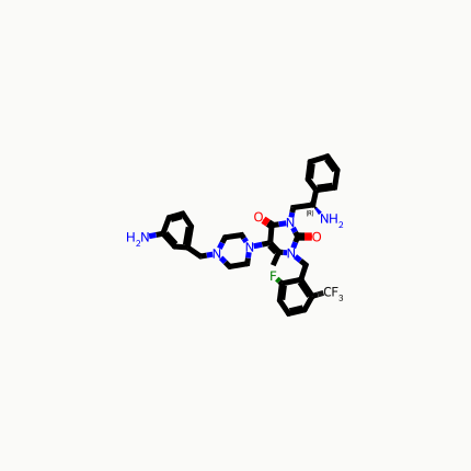 Cc1c(N2CCN(Cc3cccc(N)c3)CC2)c(=O)n(C[C@H](N)c2ccccc2)c(=O)n1Cc1c(F)cccc1C(F)(F)F